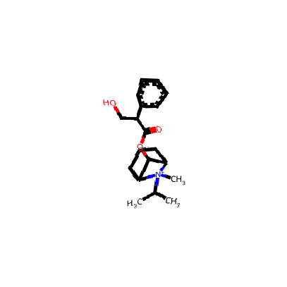 CC(C)[N+]1(C)C2CCCC1C2OC(=O)C(CO)c1ccccc1